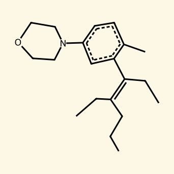 CCC/C(CC)=C(\CC)c1cc(N2CCOCC2)ccc1C